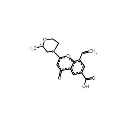 C=Cc1cc(C(=O)O)cc2c(=O)cc(N3CCO[C@H](C)C3)oc12